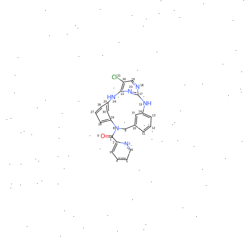 O=C(c1ccccn1)N1Cc2cccc(c2)Nc2ncc(Cl)c(n2)Nc2cccc1c2